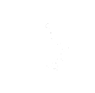 CCOC(=O)CCCC1CCN(c2cncc(C(=O)N[C@H](C(=O)N3C[C@H](O)C[C@H]3C(=O)NCc3ccc(-c4scnc4C)cc3)C(C)(C)C)c2)CC1